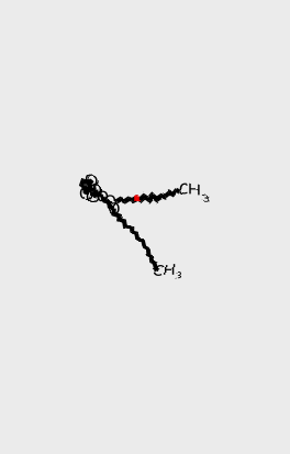 CCCCCCCCCCCCCCCCCCOCC(COC(=O)ON1C(=O)CCC1=O)OCCCCCCCCCCCCCCCCCC